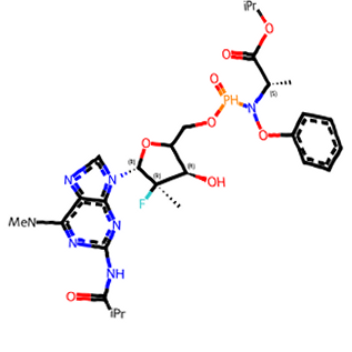 CNc1nc(NC(=O)C(C)C)nc2c1ncn2[C@@H]1OC(CO[PH](=O)N(Oc2ccccc2)[C@@H](C)C(=O)OC(C)C)[C@@H](O)[C@@]1(C)F